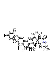 NC(=O)/C(=C\C1CC1)C(=O)N1CCC[C@@H](n2nc(-c3ccc(Oc4cc(F)cc(F)c4)cc3)c3c(N)ncnc32)C1